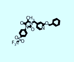 CC1C(=O)N(c2ccc(S(=O)(=O)C(F)(F)F)cc2)C(=O)N1Cc1ccnc(OCc2ccccc2)c1